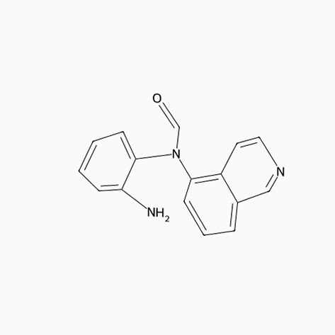 Nc1ccccc1N(C=O)c1cccc2cnccc12